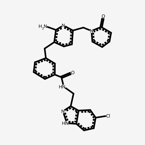 Nc1nc(Cn2ccccc2=O)ccc1Cc1cccc(C(=O)NCc2n[nH]c3ccc(Cl)cc23)c1